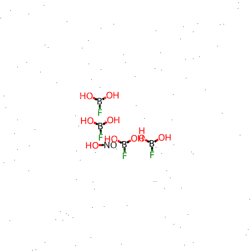 O=NO.OB(O)F.OB(O)F.OB(O)F.OB(O)F